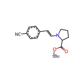 CC(C)(C)OC(=O)C1CCCN1C=Cc1ccc(C#N)cc1